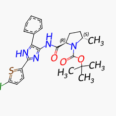 C[C@H]1CC[C@H](C(=O)Nc2nc(-c3ccc(Cl)s3)[nH]c2-c2ccccc2)N1C(=O)OC(C)(C)C